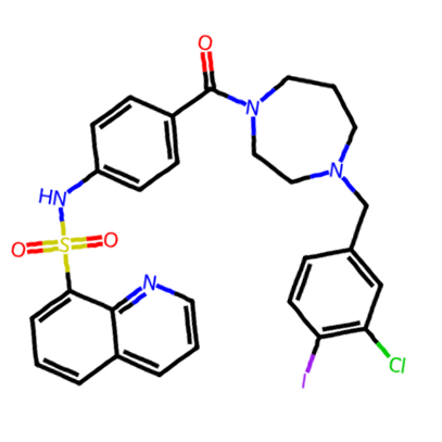 O=C(c1ccc(NS(=O)(=O)c2cccc3cccnc23)cc1)N1CCCN(Cc2ccc(I)c(Cl)c2)CC1